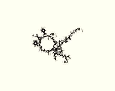 C=C(C[C@H]1CN[C@H](CN)CCCCNC(=O)CC[C@H](NC[C@H](CCCC)NC[C@H](CCCCN(CC)CCO)NC[C@H](C)NC[C@H](CCCN)NC[C@H](C)NCCNC(=O)COCCOCCN)CNCCCCCN[C@H](Cc2ccccc2)CN[C@@H](CCCN)CN1)c1ccccc1